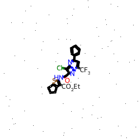 CCOC(=O)c1c(NC(=O)c2nn3c(C(F)(F)F)cc(-c4ccccc4)nc3c2Cl)sc2c1CCC2